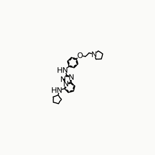 c1cc(NC2CCCC2)n2nc(Nc3ccc(OCCN4CCCC4)cc3)nc2c1